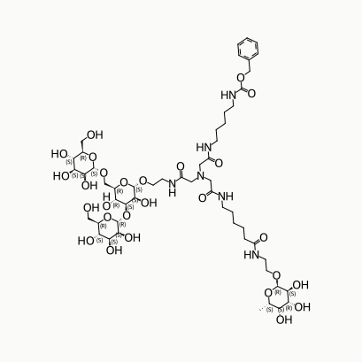 C[C@@H]1O[C@@H](OCCNC(=O)CCCCCNC(=O)CN(CC(=O)NCCCCCNC(=O)OCc2ccccc2)CC(=O)NCCO[C@H]2O[C@H](CO[C@H]3O[C@H](CO)[C@@H](O)[C@H](O)[C@@H]3O)[C@@H](O)[C@H](O[C@H]3O[C@H](CO)[C@@H](O)[C@H](O)[C@@H]3O)[C@@H]2O)[C@@H](O)[C@H](O)[C@@H]1O